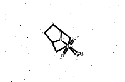 CC(C)N1CC2CCC(C1)N2S(C)(=O)=O